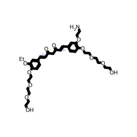 CCOc1cc(/C=C/C(=O)CC(=O)/C=C/c2ccc(OCCOCCOCCO)c(OCCN)c2)ccc1OCCOCCOCCO